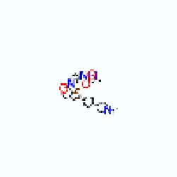 C=Cc1cc(-c2ccc(C3CCN(C(C)C)CC3)cc2)sc1C(=O)N1CC[C@H](NC(=O)OC(C)(C)C)C1